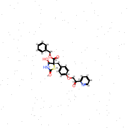 O=C1NC(O)[C@](Cc2ccc(OCC(=O)c3ccccn3)cc2)(C(=O)OCc2ccccc2)S1